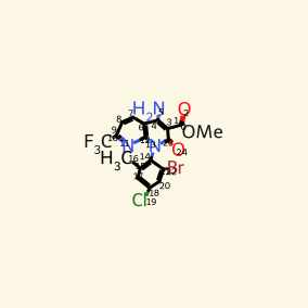 COC(=O)c1c(N)c2ccc(C(F)(F)F)nc2n(-c2c(C)cc(Cl)cc2Br)c1=O